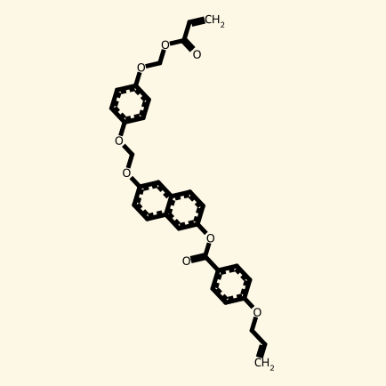 C=CCOc1ccc(C(=O)Oc2ccc3cc(OCOc4ccc(OCOC(=O)C=C)cc4)ccc3c2)cc1